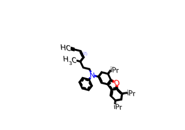 C#C/C=C\C(C)CCN(C1=Cc2c(oc3c2=CC(C(C)C)CC=3C(C)C)C(C(C)C)C1)c1ccccc1